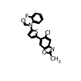 Cc1nc2cc(Cl)c(-c3ccc(N(C=O)c4ccccc4F)s3)cc2o1